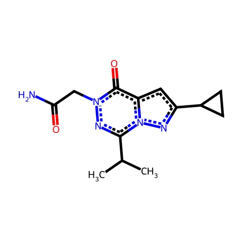 CC(C)c1nn(CC(N)=O)c(=O)c2cc(C3CC3)nn12